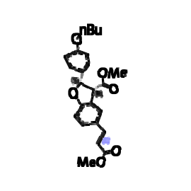 CCCCOc1ccc([C@H]2Oc3ccc(/C=C/C(=O)OC)cc3[C@H]2C(=O)OC)cc1